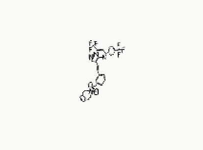 O=S(=O)(c1cccc(C#Cc2cnn3c(C(F)(F)F)cc(-c4ccc(C(F)(F)F)cc4)nc23)c1)N1CCOCC1